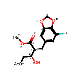 CC(=O)OC[C@H](O)[C@H](Cc1cc(F)c2c(c1)OCO2)C(=O)OC(C)(C)C